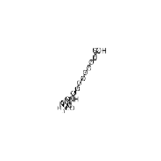 CN1C(=O)C[C@H](C(=O)NCCOCCOCCOCCOCCOCCOCCOCCOCCC(=O)O)[C@H]1c1cccnc1